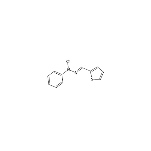 ClN(N=Cc1cccs1)c1ccccc1